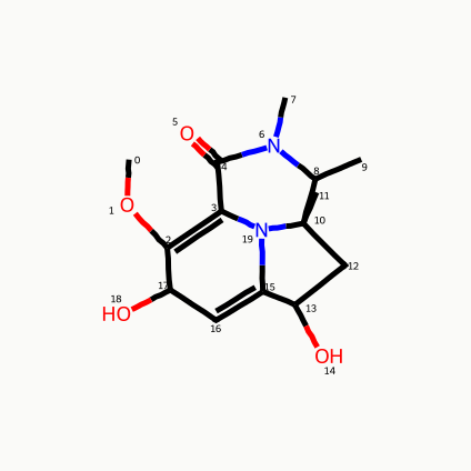 COC1=C2C(=O)N(C)C(C)C3(C)CC(O)C(=CC1O)N23